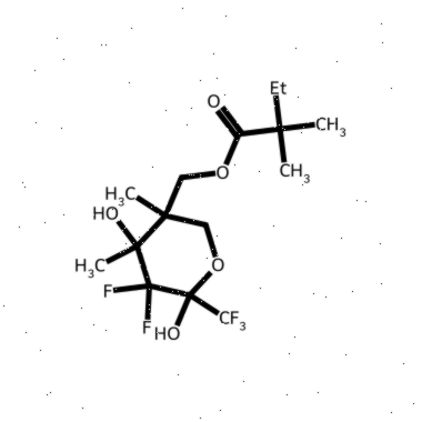 CCC(C)(C)C(=O)OCC1(C)COC(O)(C(F)(F)F)C(F)(F)C1(C)O